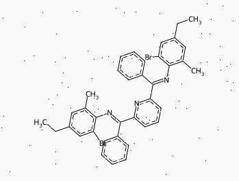 CCc1cc(C)c(/N=C(\c2ccccc2)c2cccc(/C(=N/c3c(C)cc(CC)cc3Br)c3ccccc3)n2)c(Br)c1